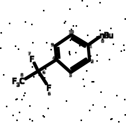 [CH2]CCCc1ccc(C(F)(F)C(F)(F)F)cc1